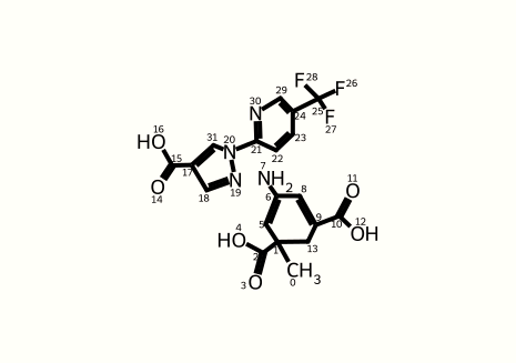 CC1(C(=O)O)C=C(N)C=C(C(=O)O)C1.O=C(O)c1cnn(-c2ccc(C(F)(F)F)cn2)c1